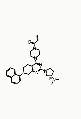 C=CC(=O)N1CCN(c2nc(N3CC[C@H](N(C)C)C3)nc3c2CCN(c2cccc4ccccc24)C3)CC1